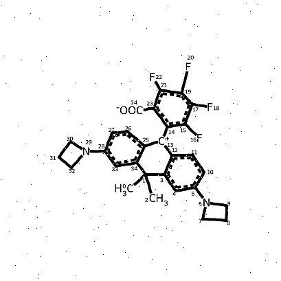 CC1(C)c2cc(N3CCC3)ccc2[C+](c2c(F)c(F)c(F)c(F)c2C(=O)[O-])c2ccc(N3CCC3)cc21